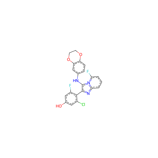 Oc1cc(F)c(-c2nc3cccc(F)n3c2Nc2ccc3c(c2)OCCO3)c(Cl)c1